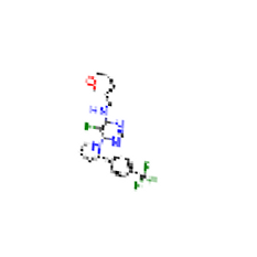 Fc1c(NCC2CCCOC2)ncnc1N1CCC[C@@H]1c1ccc(C(F)(F)F)cc1